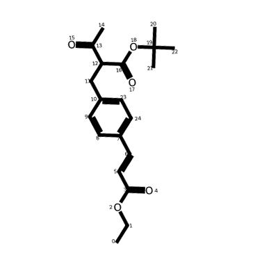 CCOC(=O)/C=C/c1ccc(CC(C(C)=O)C(=O)OC(C)(C)C)cc1